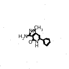 Cn1nc(N)c2c(=O)[nH]c(-c3ccccc3)cc21